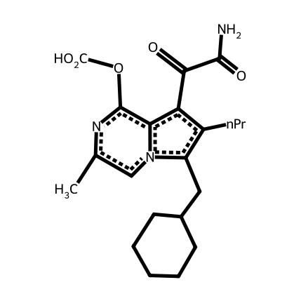 CCCc1c(C(=O)C(N)=O)c2c(OC(=O)O)nc(C)cn2c1CC1CCCCC1